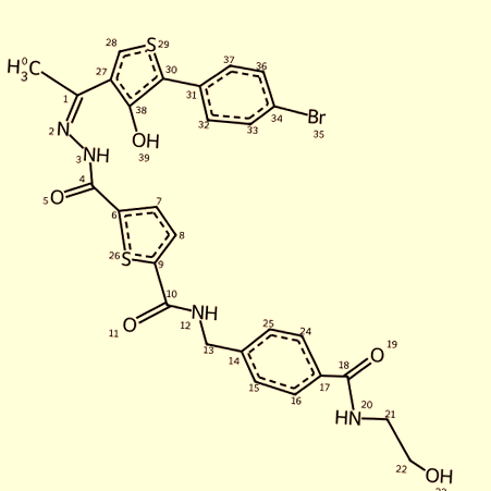 CC(=NNC(=O)c1ccc(C(=O)NCc2ccc(C(=O)NCCO)cc2)s1)c1csc(-c2ccc(Br)cc2)c1O